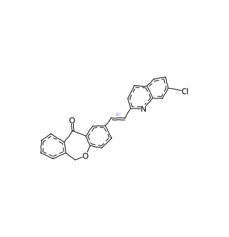 O=C1c2ccccc2COc2ccc(/C=C/c3ccc4ccc(Cl)cc4n3)cc21